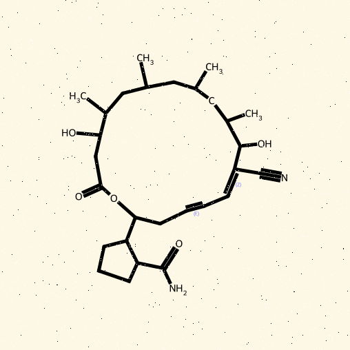 CC1CC(C)CC(C)C(O)/C(C#N)=C\C=C\CC(C2CCCC2C(N)=O)OC(=O)CC(O)C(C)C1